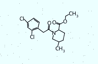 CCOC(=O)C1CCC(C)CN1C(=O)Cc1ccc(Cl)cc1Cl